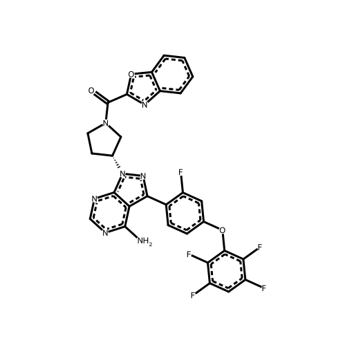 Nc1ncnc2c1c(-c1ccc(Oc3c(F)c(F)cc(F)c3F)cc1F)nn2[C@@H]1CCN(C(=O)c2nc3ccccc3o2)C1